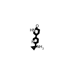 NC1(c2ccc(-c3ccc(=O)[nH]c3)cn2)CC1